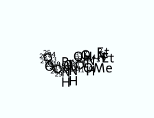 CCN(CC)CCNC(=O)c1c(OC)cc(NC(=O)Nc2ccc(Oc3ccccc3)cc2)c(Br)c1O